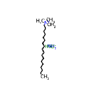 CCCCCCCCCCCCCCCCCC[N+](C)(C)C.Cl.N.[Cl-]